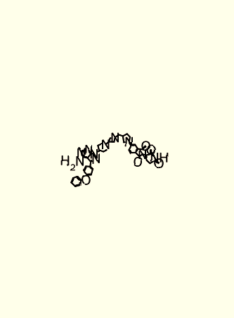 Nc1ncnc2c1c(-c1ccc(Oc3ccccc3)cc1)nn2C1CCN(C2CN(CC3CCN(c4ccc5c(c4)C(=O)N(C4CCC(=O)NC4=O)C5=O)C3)C2)CC1